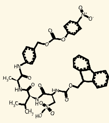 CC(C)[C@H](NC(=O)[C@H](CS(=O)(=O)O)NC(=O)OCC1c2ccccc2-c2ccccc21)C(=O)N[C@@H](C)C(=O)Nc1ccc(COC(=O)Oc2ccc([N+](=O)[O-])cc2)cc1